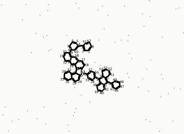 c1ccc(-c2cccc(-c3cccc4cc5c(ccc6c5c5c7ccccc7ccc5n6-c5ccc(-c6c7ccccc7c(-c7ccccc7)c7ccccc67)cc5)cc34)c2)cc1